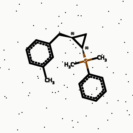 Cc1cccc(C[C@H]2C[C@@H]2S(C)(C)c2ccccc2)c1